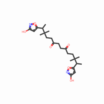 CC(c1cc(O)no1)C(C)(C)CCC(=O)CCC(=O)CCC(C)(C)C(C)c1cc(O)no1